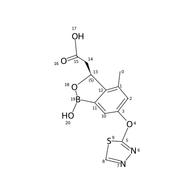 Cc1cc(Oc2nncs2)cc2c1[C@H](CC(=O)O)OB2O